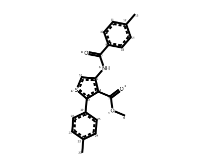 COC(=O)c1c(NC(=O)c2ccc(C)cc2)csc1-c1ccc(C)cc1